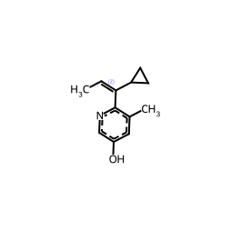 C/C=C(\c1ncc(O)cc1C)C1CC1